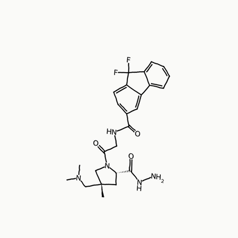 CN(C)C[C@@]1(C)C[C@@H](C(=O)NN)N(C(=O)CNC(=O)c2ccc3c(c2)-c2ccccc2C3(F)F)C1